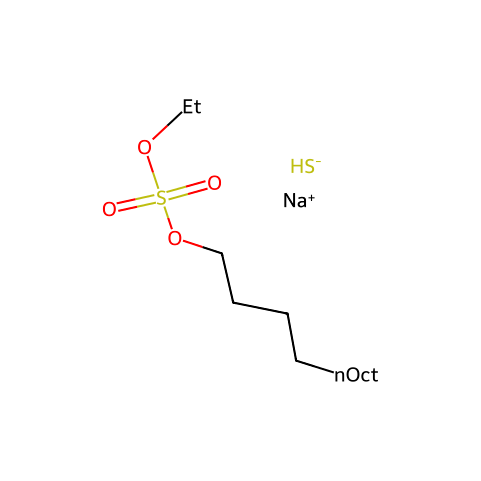 CCCCCCCCCCCCOS(=O)(=O)OCC.[Na+].[SH-]